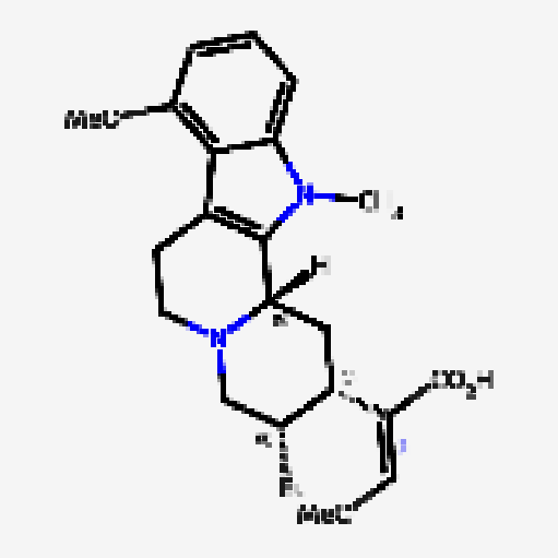 CC[C@@H]1CN2CCc3c(n(C)c4cccc(OC)c34)[C@@H]2C[C@@H]1/C(=C\OC)C(=O)O